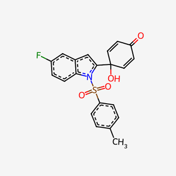 Cc1ccc(S(=O)(=O)n2c(C3(O)C=CC(=O)C=C3)cc3cc(F)ccc32)cc1